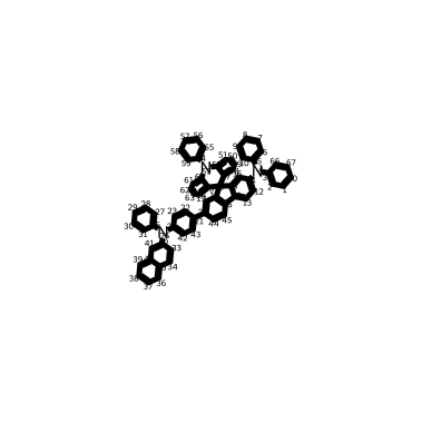 c1ccc(N(c2ccccc2)c2ccc3c(c2)C2(c4cc(-c5ccc(N(c6ccccc6)c6ccc7ccccc7c6)cc5)ccc4-3)c3ccccc3N(c3ccccc3)c3ccccc32)cc1